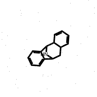 C1=CC2CC3NC(c4ccccc43)C2C=C1